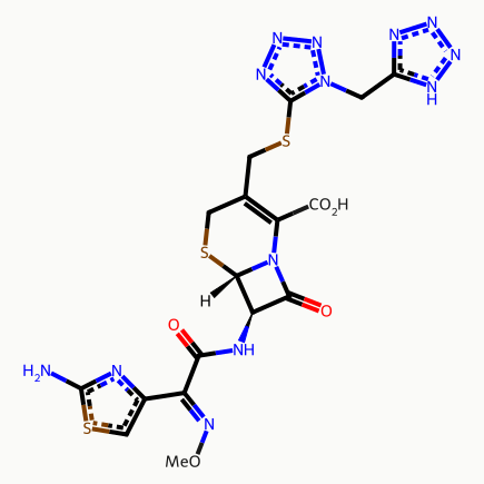 CON=C(C(=O)N[C@@H]1C(=O)N2C(C(=O)O)=C(CSc3nnnn3Cc3nnn[nH]3)CS[C@@H]12)c1csc(N)n1